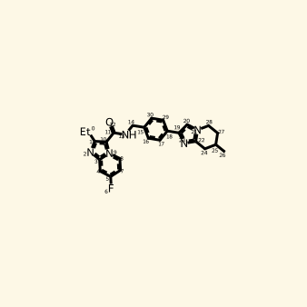 CCc1nc2cc(F)ccn2c1C(=O)NCc1ccc(-c2cn3c(n2)CC(C)CC3)cc1